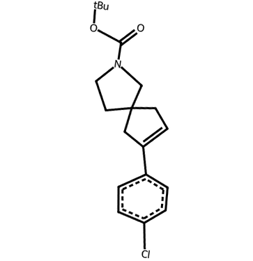 CC(C)(C)OC(=O)N1CCC2(CC=C(c3ccc(Cl)cc3)C2)C1